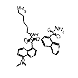 CN(C)c1cccc2c(S(=O)(=O)NCCCCCN)cccc12.NS(=O)(=O)c1cccc2ccccc12